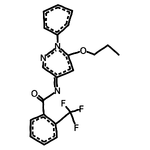 CCCOc1cc(=NC(=O)c2ccccc2C(F)(F)F)cnn1-c1ccccc1